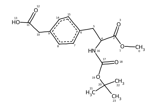 COC(=O)C(Cc1ccc(CC(=O)O)cc1)NC(=O)OC(C)(C)C